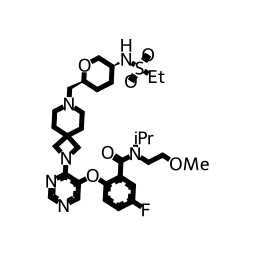 CCS(=O)(=O)N[C@@H]1CC[C@@H](CN2CCC3(CC2)CN(c2ncncc2Oc2ccc(F)cc2C(=O)N(CCOC)C(C)C)C3)OC1